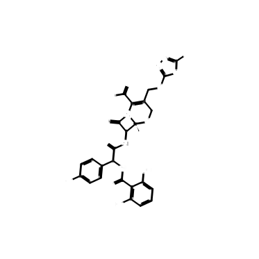 Cc1nnc(SCC2=C(C(=O)O)N3C(=O)C(NC(=O)C(NC(=O)c4c(O)cccc4O)c4ccc(O)cc4)[C@H]3SC2)s1